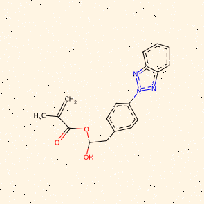 C=C(C)C(=O)OC(O)Cc1ccc(-n2nc3ccccc3n2)cc1